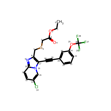 CCOC(=O)CSCc1nc2ccc(Cl)cn2c1C#Cc1cccc(OC(F)(F)F)c1